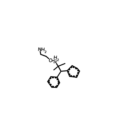 CC(C)([SiH2]OCCN)C(c1ccccc1)c1ccccc1